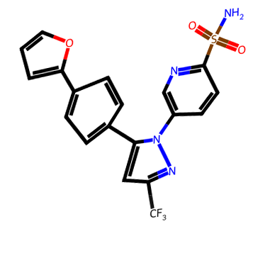 NS(=O)(=O)c1ccc(-n2nc(C(F)(F)F)cc2-c2ccc(-c3ccco3)cc2)cn1